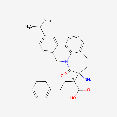 CC(C)c1ccc(CN2C(=O)C(N)([C@H](CCc3ccccc3)C(=O)O)CCc3ccccc32)cc1